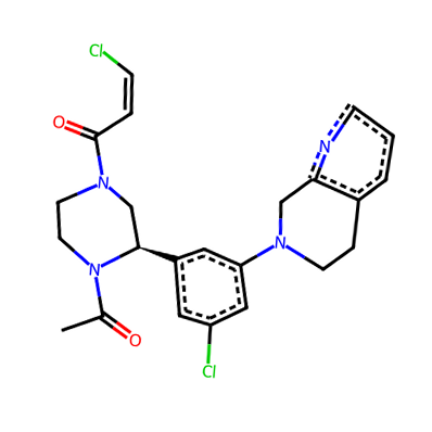 CC(=O)N1CCN(C(=O)/C=C\Cl)C[C@H]1c1cc(Cl)cc(N2CCc3cccnc3C2)c1